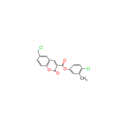 Cc1cc(OC(=O)c2cc3cc(CCl)ccc3oc2=O)ccc1Cl